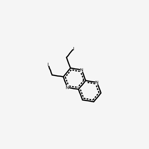 ICc1nc2cccnc2nc1CI